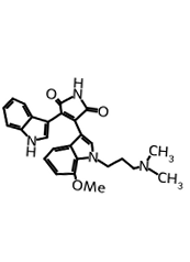 COc1cccc2c(C3=C(c4c[nH]c5ccccc45)C(=O)NC3=O)cn(CCCN(C)C)c12